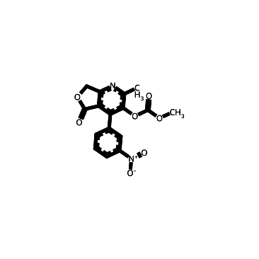 COC(=O)Oc1c(C)nc2c(c1-c1cccc([N+](=O)[O-])c1)C(=O)OC2